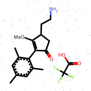 COC1=C(c2c(C)cc(C)cc2C)C(=O)CC1CCN.O=C(O)C(F)(F)F